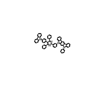 c1ccc(-c2nc(-c3cccc(-n4c5ccccc5c5cc6c7ccccc7n(-c7ccccc7)c6cc54)c3)nc(-c3ccccc3)c2-c2ccc(-n3c4ccccc4c4ccccc43)cc2)cc1